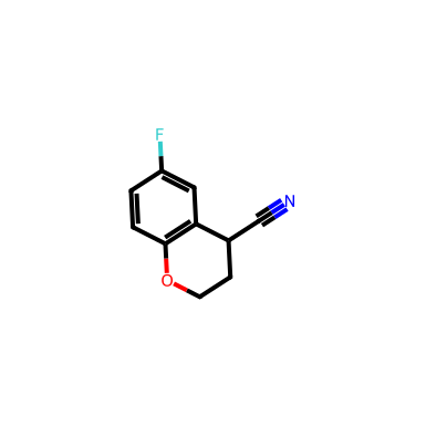 N#CC1CCOc2ccc(F)cc21